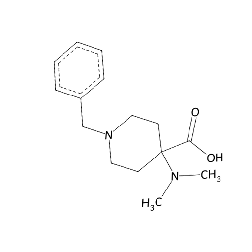 CN(C)C1(C(=O)O)CCN(Cc2ccccc2)CC1